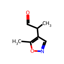 Cc1oncc1C(C)C=O